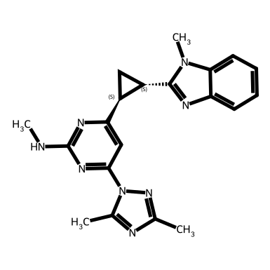 CNc1nc([C@H]2C[C@@H]2c2nc3ccccc3n2C)cc(-n2nc(C)nc2C)n1